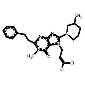 Cn1c(CCc2ccccc2)nc2nc(N3CCCC(N)C3)n(CC=C(Cl)Cl)c2c1=O